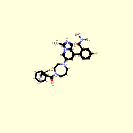 CCN(C(=O)c1cc(F)ccc1-c1cc(N2CCCN(C(=O)[C@@H]3NC4CCC3CC4)CC2)cn2c(C)ncc12)C(C)C